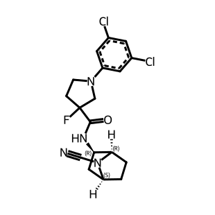 N#CN1[C@H]2CC[C@@H]1[C@H](NC(=O)C1(F)CCN(c3cc(Cl)cc(Cl)c3)C1)C2